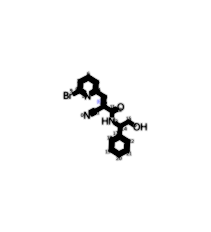 N#C/C(=C\c1cccc(Br)n1)C(=O)NC(CO)c1ccccc1